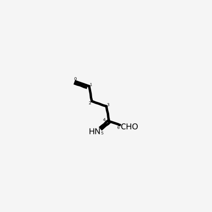 C=CCCC(=N)C=O